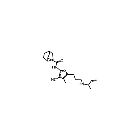 C=CC(C)NCCCc1sc(NC(=O)C2CC3CCC2CC3)c(C#N)c1C